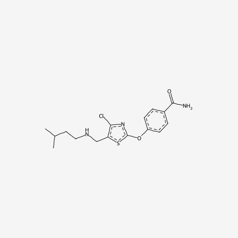 CC(C)CCNCc1sc(Oc2ccc(C(N)=O)cc2)nc1Cl